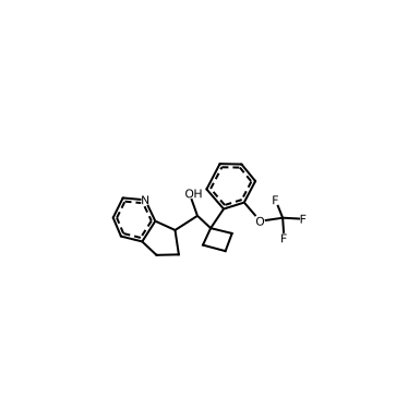 OC(C1CCc2cccnc21)C1(c2ccccc2OC(F)(F)F)CCC1